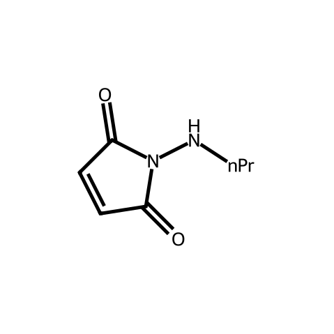 CCCNN1C(=O)C=CC1=O